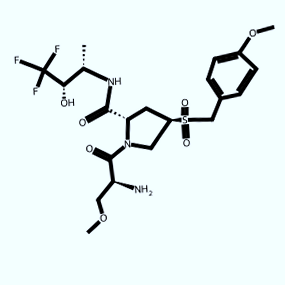 COC[C@H](N)C(=O)N1C[C@H](S(=O)(=O)Cc2ccc(OC)cc2)C[C@H]1C(=O)N[C@@H](C)[C@H](O)C(F)(F)F